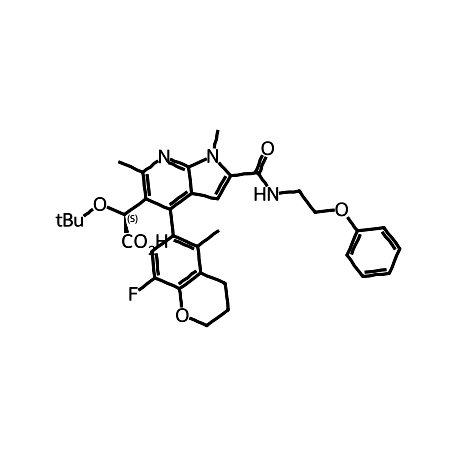 Cc1nc2c(cc(C(=O)NCCOc3ccccc3)n2C)c(-c2cc(F)c3c(c2C)CCCO3)c1[C@H](OC(C)(C)C)C(=O)O